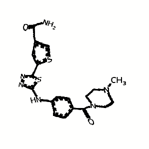 CN1CCN(C(=O)c2ccc(Nc3nnc(-c4cc(C(N)=O)cs4)s3)cc2)CC1